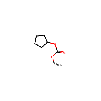 CCCCCOC(=O)OC1CCCC1